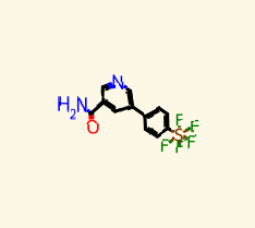 NC(=O)c1cncc(-c2ccc(S(F)(F)(F)(F)F)cc2)c1